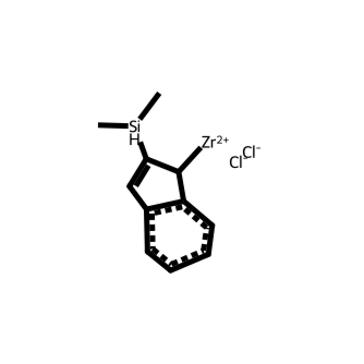 C[SiH](C)C1=Cc2ccccc2[CH]1[Zr+2].[Cl-].[Cl-]